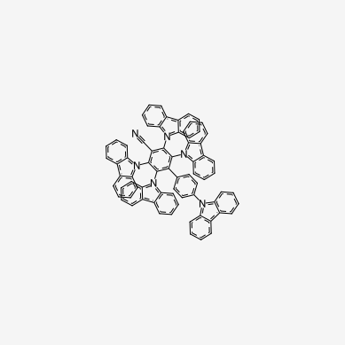 N#Cc1c(-n2c3ccccc3c3ccccc32)c(-n2c3ccccc3c3ccccc32)c(-c2ccc(-n3c4ccccc4c4ccccc43)cc2)c(-n2c3ccccc3c3ccccc32)c1-n1c2ccccc2c2ccccc21